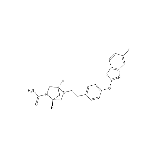 NC(=O)N1C[C@@H]2C[C@@H]1CN2CCc1ccc(Oc2nc3cc(F)ccc3s2)cc1